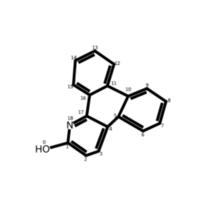 Oc1ccc2c3ccccc3c3ccccc3c2n1